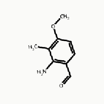 COc1ccc(C=O)c(N)c1C